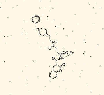 CCOC(=O)[C@H](CCC(=O)NCCC1CCN(Cc2cc#ccc2)CC1)NC(=O)c1cc2ccccc2oc1=O